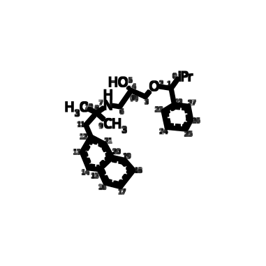 CC(C)C(OC[C@H](O)CNC(C)(C)Cc1ccc2ccccc2c1)c1ccccc1